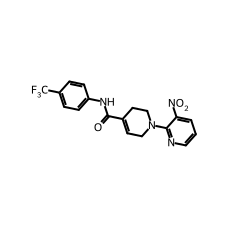 O=C(Nc1ccc(C(F)(F)F)cc1)C1=CCN(c2ncccc2[N+](=O)[O-])CC1